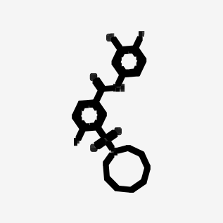 O=C(Nc1ccc(F)c(Cl)c1)c1ccc(F)c(S(=O)(=O)N2CCCCCCCC2)c1